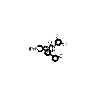 CC(C)N1CCC(CNC(=O)Nc2cc(Cl)cc(Cl)c2)(c2ccc(-c3cccc(Cl)c3)cc2)CC1